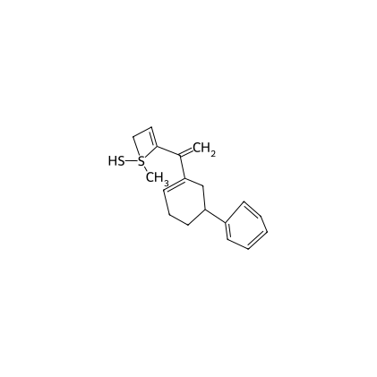 C=C(C1=CCCC(c2ccccc2)C1)C1=CCS1(C)S